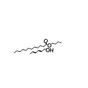 C/C=C/C=C/CO.CCCCCCCCCCCC(=O)OCCCC